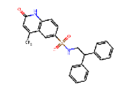 O=c1cc(C(F)(F)F)c2cc(S(=O)(=O)NCC(c3ccccc3)c3ccccc3)ccc2[nH]1